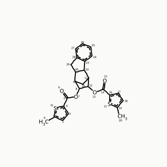 Cc1ccc(C(=O)OC2C3CC(C2OC(=O)c2ccc(C)s2)C2c4ccccc4CC32)s1